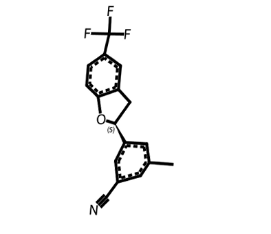 Cc1cc(C#N)cc([C@@H]2Cc3cc(C(F)(F)F)ccc3O2)c1